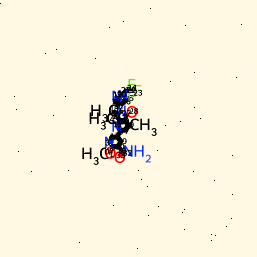 COc1ncc(-c2cc(C)c3c(n2)C(C)(C)N(c2cnn(CC(F)(F)F)c2)C3=O)cc1C(N)=O